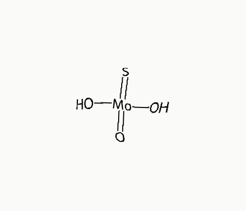 [O]=[Mo]([OH])([OH])=[S]